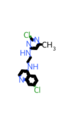 Cc1cc(NCCNc2ccnc3cc(Cl)ccc23)nc(Cl)n1